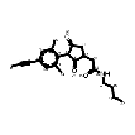 CC#Cc1cc(C)c(C2C(=O)CC(CC(=O)NCCCC)C2=O)c(C)c1